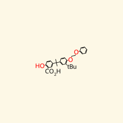 CC(C)(C)c1cc(C(C)(C)c2ccc(O)c(C(=O)O)c2)ccc1OCCOc1ccccc1